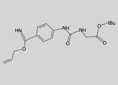 C=CCOC(=N)c1ccc(NC(=O)NCC(=O)OC(C)(C)C)cc1